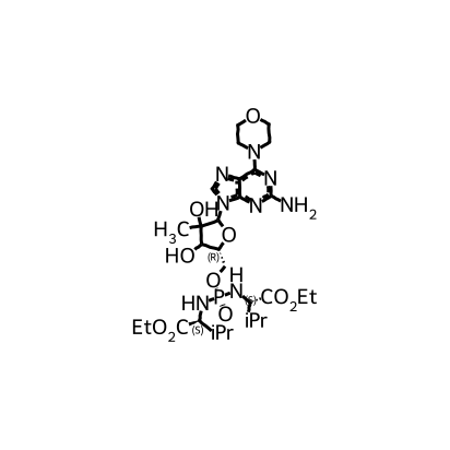 CCOC(=O)[C@@H](NP(=O)(N[C@H](C(=O)OCC)C(C)C)OC[C@H]1OC(n2cnc3c(N4CCOCC4)nc(N)nc32)C(C)(O)C1O)C(C)C